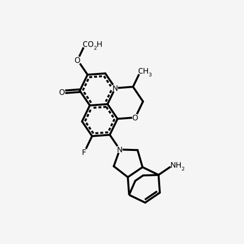 CC1COc2c(N3CC4C5C=CC(N)(CC5)C4C3)c(F)cc3c(=O)c(OC(=O)O)cn1c23